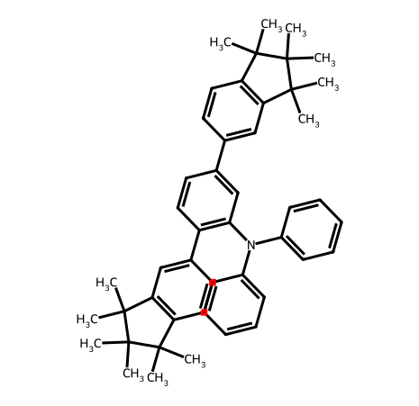 CC1(C)c2ccc(-c3ccc(-c4ccc5c(c4)C(C)(C)C(C)(C)C5(C)C)c(N(c4ccccc4)c4ccccc4)c3)cc2C(C)(C)C1(C)C